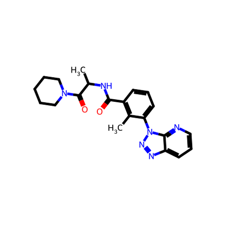 Cc1c(C(=O)NC(C)C(=O)N2CCCCC2)cccc1-n1nnc2cccnc21